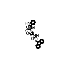 COC(=O)C(Cc1c[nH]c2ccccc12)N1C[C@@H](NC(=O)OCC2c3ccccc3-c3ccccc32)CC1=O